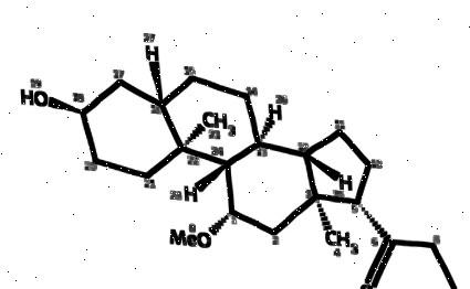 CO[C@H]1C[C@]2(C)[C@@H](C(=O)CBr)CC[C@H]2[C@@H]2CC[C@H]3C[C@H](O)CC[C@]3(C)[C@H]21